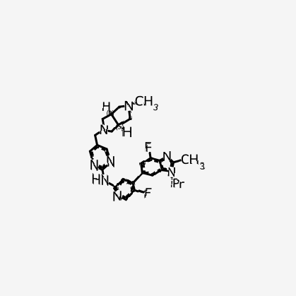 Cc1nc2c(F)cc(-c3cc(Nc4ncc(CN5C[C@H]6CN(C)C[C@H]6C5)cn4)ncc3F)cc2n1C(C)C